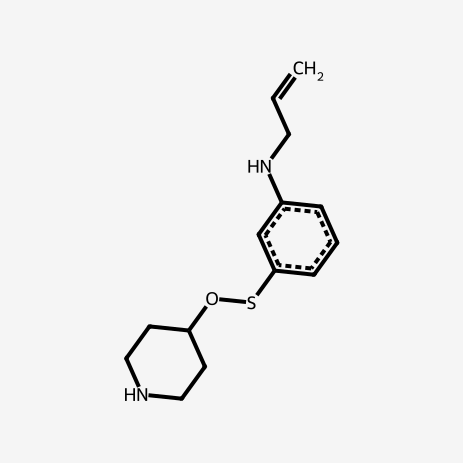 C=CCNc1cccc(SOC2CCNCC2)c1